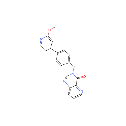 COC1=CC(c2ccc(Cn3cnc4cccnc4c3=O)cc2)CC=N1